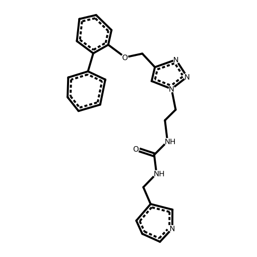 O=C(NCCn1cc(COc2ccccc2-c2ccccc2)nn1)NCc1cccnc1